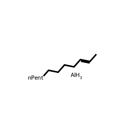 [AlH3].[CH2]CCCCCCCCC=CC